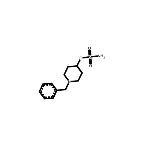 NS(=O)(=O)OC1CCN(Cc2ccccc2)CC1